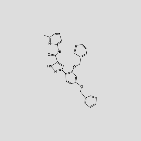 Cc1cccc(NC(=O)c2cc(-c3ccc(OCc4ccccc4)cc3OCc3ccccc3)n[nH]2)n1